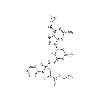 CCOC(=O)[C@@H](C)N[P@@](=O)(OC[C@@H]1CC(=N)C[C@H](n2cnc3c(NC4CC4)nc(N)nc32)O1)Oc1ccccc1